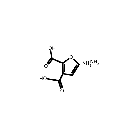 N.N.O=C(O)c1ccoc1C(=O)O